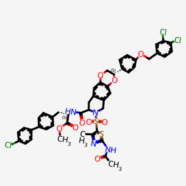 COC(=O)[C@H](Cc1ccc(-c2ccc(Cl)cc2)cc1)NC(=O)C1Cc2cc3c(cc2CN1S(=O)(=O)c1sc(NC(C)=O)nc1C)O[C@@H](c1ccc(OCc2ccc(Cl)c(Cl)c2)cc1)CO3